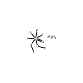 [MgH2].[O]=[Zr]([F])([F])([F])([F])([O]F)[O]F